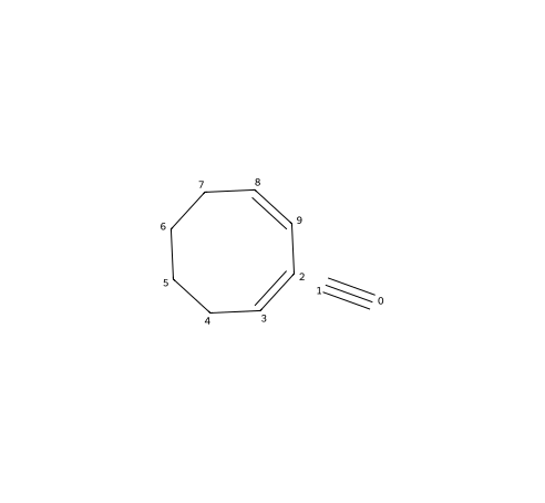 C#C.C1=CCCCCC=C1